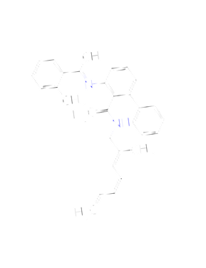 C=C/C=C\C=C(/C)CNC(=C)c1c(/N=C(\C)c2ccccc2C)cccc1-c1ccccc1